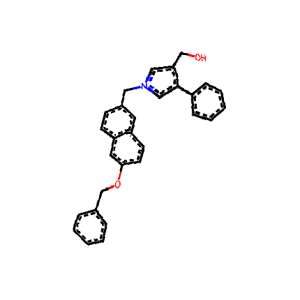 OCc1cn(Cc2ccc3cc(OCc4ccccc4)ccc3c2)cc1-c1ccccc1